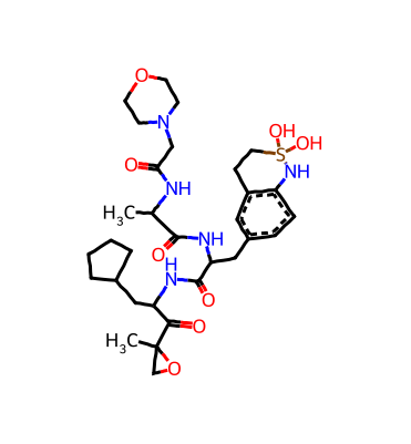 CC(NC(=O)CN1CCOCC1)C(=O)NC(Cc1ccc2c(c1)CCS(O)(O)N2)C(=O)NC(CC1CCCC1)C(=O)C1(C)CO1